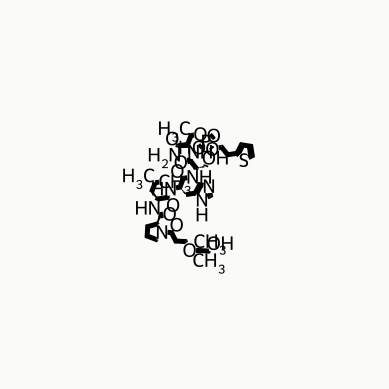 CC(C)C[C@H](NC(=O)[C@@H]1CCCN1C(=O)CCOC(C)(C)CO)C(=O)N[C@@H](Cc1cnc[nH]1)C(=O)N[C@@H](CO)C(=O)N[C@H](C(N)=O)[C@@H](C)OP(=O)(O)OCCc1cccs1